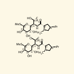 CCC[C@@H]1C[C@@H](C(=O)N[C@@H]([C@H]2O[C@H](SC)[C@H](O)[C@@H](O)[C@H]2O)[C@@H](C)O)N(C)C1.CCC[C@@H]1C[C@@H](C(=O)N[C@@H]([C@H]2O[C@H](SC)[C@H](O)[C@@H](O)[C@H]2O)[C@H](C)Cl)N(C)C1